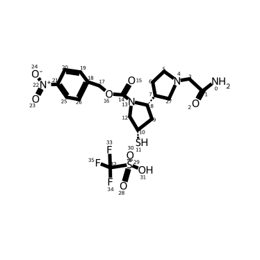 NC(=O)CN1CCC([C@@H]2C[C@H](S)CN2C(=O)OCc2ccc([N+](=O)[O-])cc2)C1.O=S(=O)(O)C(F)(F)F